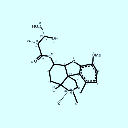 COc1ccc(C)c2c1OC1C(OC(=O)[C@H](C)[C@@H](O)C(=O)O)CCC3(O)[C@@H](C)N(C)CCC213